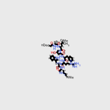 CCCCCCCCCCCC(=O)N[C@@H](CCCC)C(=O)N[C@@H](CCC(C)OC)C(=O)N1C[C@H](O)CC1C(=O)NC(Cc1ccccc1)C(=O)NC(CCCNC(=N)N)C(=O)N[C@@H](Cc1c[nH]c2ccccc12)C(=O)N[C@@H](CCCCNC)C(N)=O